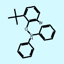 CC(C)(C)c1cccc(Br)c1O[SiH](c1ccccc1)c1ccccc1